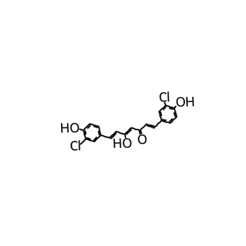 O=C(C=Cc1ccc(O)c(Cl)c1)C=C(O)C=Cc1ccc(O)c(Cl)c1